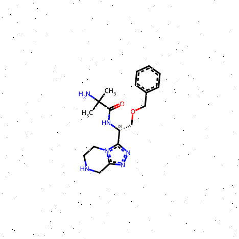 CC(C)(N)C(=O)N[C@H](COCc1ccccc1)c1nnc2n1CCNC2